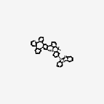 CC(C)(C)c1cc2c(cc1-c1cccc3c1Oc1ccc(-n4c5ccccc5n5c6ccccc6nc45)cc1C3(C)C)-c1ccccc1-c1ncccc1-c1ccccc1-2